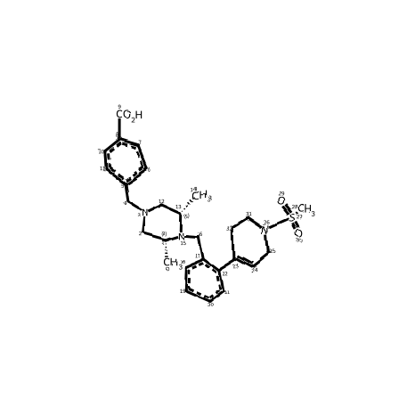 C[C@@H]1CN(Cc2ccc(C(=O)O)cc2)C[C@H](C)N1Cc1ccccc1C1=CCN(S(C)(=O)=O)CC1